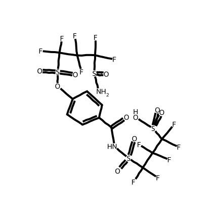 NS(=O)(=O)C(F)(F)C(F)(F)C(F)(F)S(=O)(=O)Oc1ccc(C(=O)NS(=O)(=O)C(F)(F)C(F)(F)C(F)(F)S(=O)(=O)O)cc1